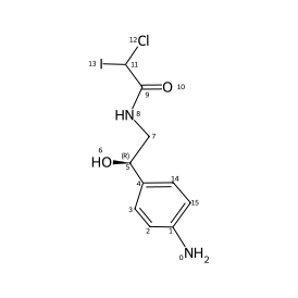 Nc1ccc([C@@H](O)CNC(=O)C(Cl)I)cc1